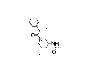 CC(=O)NC1CCCN(C(=O)Cc2ccccc2)C1